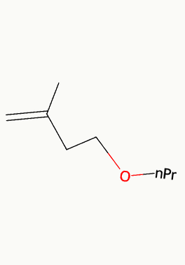 [CH2]CCOCCC(=C)C